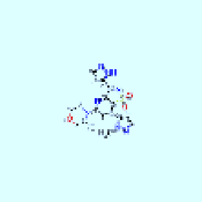 CC1COCCN1c1cc(-c2ccnn2C)c2c(n1)C(c1ccn[nH]1)=NS2(=O)=O